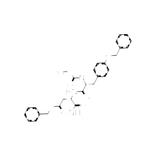 CC(C)(C)OC(=O)N[C@@H](Cc1ccc(OCc2ccccc2)cc1)C(=O)N[C@H](CC(=O)OCc1ccccc1)C(N)=O